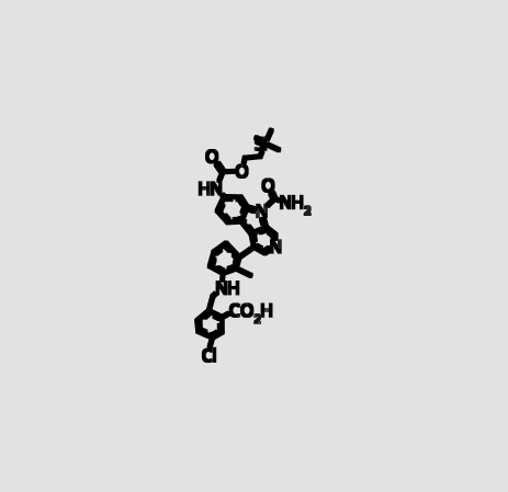 Cc1c(NCc2ccc(Cl)cc2C(=O)O)cccc1-c1cncc2c1c1ccc(NC(=O)OCC[Si](C)(C)C)cc1n2C(N)=O